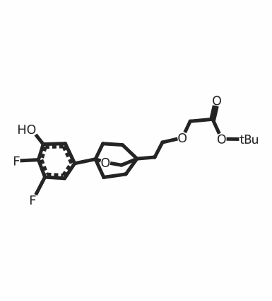 CC(C)(C)OC(=O)COCCC12CCC(c3cc(O)c(F)c(F)c3)(CC1)OC2